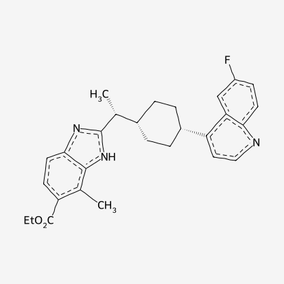 CCOC(=O)c1ccc2nc([C@H](C)[C@H]3CC[C@@H](c4ccnc5ccc(F)cc54)CC3)[nH]c2c1C